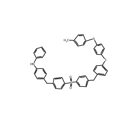 Cc1ccc(Sc2ccc(Sc3ccc(Cc4ccc(S(=O)(=O)c5ccc(Cc6ccc(Nc7ccccc7)cc6)cc5)cc4)cc3)cc2)cc1